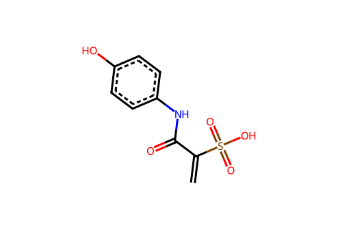 C=C(C(=O)Nc1ccc(O)cc1)S(=O)(=O)O